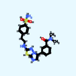 CN(C)C(=O)c1cccc(-c2cnc3sc(NCCc4ccc(S(N)(=O)=O)cc4)nn23)c1